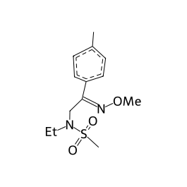 CCN(C/C(=N/OC)c1ccc(C)cc1)S(C)(=O)=O